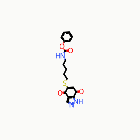 O=C(NCCCCCSC1=CC(=O)c2[nH]ncc2C1=O)Oc1ccccc1